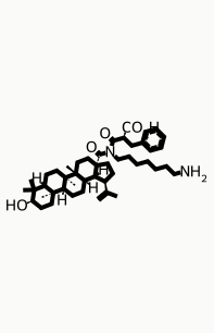 C=C(C)[C@@H]1CC[C@]2(C(=O)N(CCCCCCCN)C(=O)[C@@H](Cc3ccccc3)C(=O)O)CC[C@]3(C)[C@H](CC[C@H]4[C@@]5(C)CC[C@H](O)C(C)(C)[C@@H]5CC[C@]43C)[C@@H]12